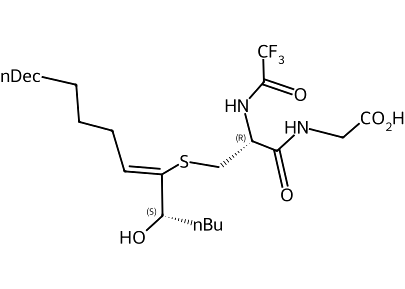 CCCCCCCCCCCCCC=C(SC[C@H](NC(=O)C(F)(F)F)C(=O)NCC(=O)O)[C@@H](O)CCCC